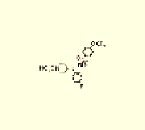 O=C(O)N1CCN([C@H](CNS(=O)(=O)c2ccc(OC(F)(F)F)cc2)c2ccc(F)cc2)CC1